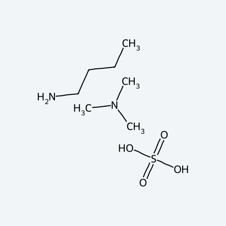 CCCCN.CN(C)C.O=S(=O)(O)O